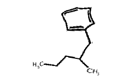 CCCC(C)[C]c1ccccc1